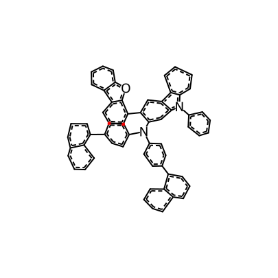 c1ccc(-n2c3ccccc3c3cc(-c4cccc5c4oc4ccccc45)c(N(c4ccc(-c5cccc6ccccc56)cc4)c4ccc(-c5cccc6ccccc56)cc4)cc32)cc1